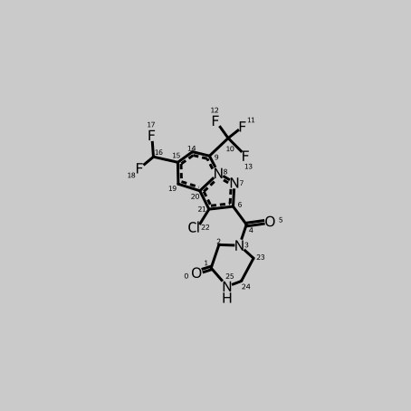 O=C1CN(C(=O)c2nn3c(C(F)(F)F)cc(C(F)F)cc3c2Cl)CCN1